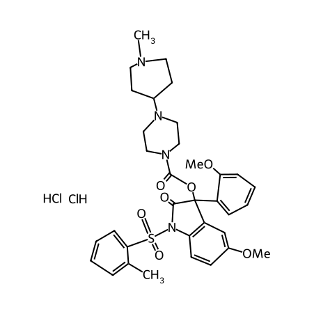 COc1ccc2c(c1)C(OC(=O)N1CCN(C3CCN(C)CC3)CC1)(c1ccccc1OC)C(=O)N2S(=O)(=O)c1ccccc1C.Cl.Cl